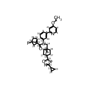 CCOc1ccnc(-c2cccc(N(CC34CCC(c5nc(C6CC6)no5)(CC3)CC4)C(=O)C3CC4(F)CC3C4)c2)c1